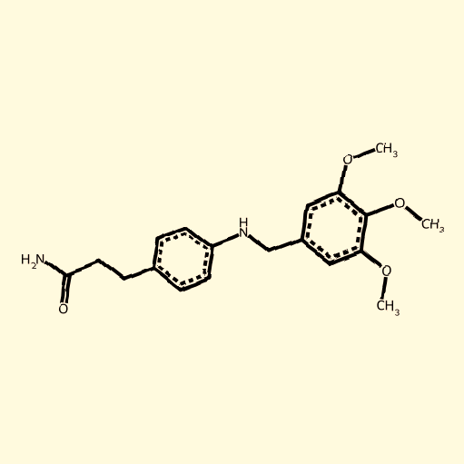 COc1cc(CNc2ccc(CCC(N)=O)cc2)cc(OC)c1OC